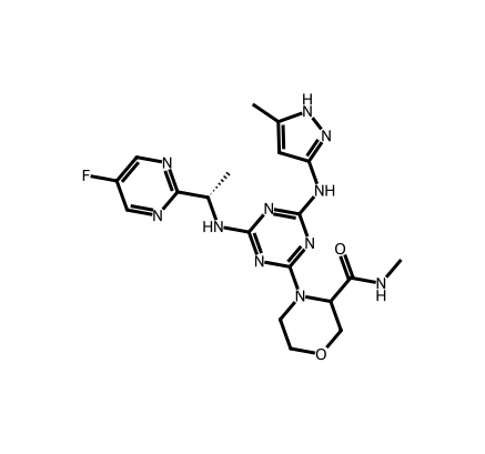 CNC(=O)C1COCCN1c1nc(Nc2cc(C)[nH]n2)nc(N[C@@H](C)c2ncc(F)cn2)n1